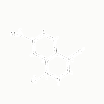 CCn1ncc(=O)c2ccc(OC)cc21